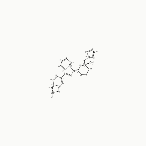 Cn1cc2cc(-c3nn([C@H]4CCC[C@@](O)(Cn5ccnc5)C4)c4ccccc34)ccc2n1